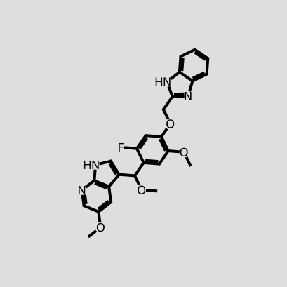 COc1cnc2[nH]cc(C(OC)c3cc(OC)c(OCc4nc5ccccc5[nH]4)cc3F)c2c1